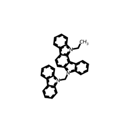 CCn1c2ccccc2c2ccc3c(c4ccccc4n3Cn3c4ccccc4c4ccccc43)c21